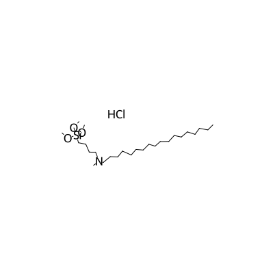 CCCCCCCCCCCCCCCCCCN(C)CCCC[Si](OC)(OC)OC.Cl